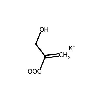 C=C(CO)C(=O)[O-].[K+]